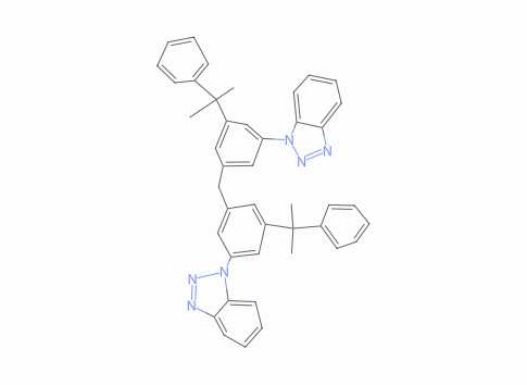 CC(C)(c1ccccc1)c1cc(Cc2cc(-n3nnc4ccccc43)cc(C(C)(C)c3ccccc3)c2)cc(-n2nnc3ccccc32)c1